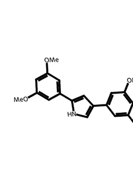 COc1cc(OC)cc(-c2c[nH]c(-c3cc(OC)cc(OC)c3)c2)c1